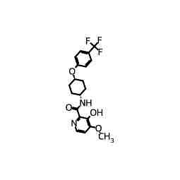 COc1ccnc(C(=O)N[C@H]2CC[C@H](Oc3ccc(C(F)(F)F)cc3)CC2)c1O